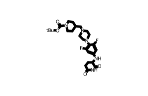 CC(C)(C)OC(=O)N1CCC(CN2CCN(c3c(F)cc(NC4CCC(=O)NC4=O)cc3F)CC2)CC1